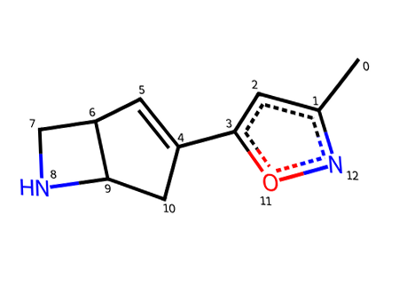 Cc1cc(C2=CC3CNC3C2)on1